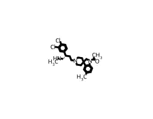 CNC[C@@H](CCN1CCC2(CC1)CN(C(C)=O)c1ccc(C)cc12)c1ccc(Cl)c(Cl)c1